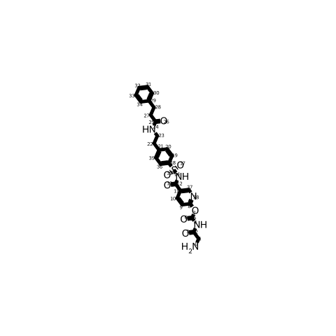 NCC(=O)NC(=O)Oc1ccc(C(=O)NS(=O)(=O)c2ccc(CCNC(=O)CCc3ccccc3)cc2)cn1